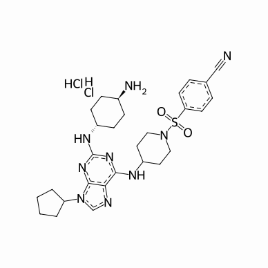 Cl.Cl.N#Cc1ccc(S(=O)(=O)N2CCC(Nc3nc(N[C@H]4CC[C@H](N)CC4)nc4c3ncn4C3CCCC3)CC2)cc1